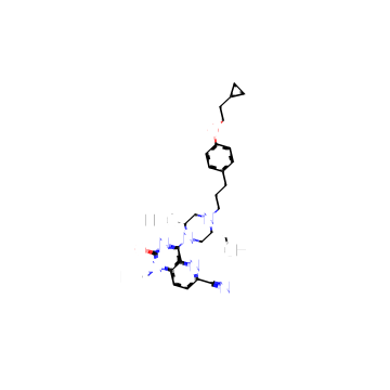 CC[C@@H]1CN(c2nc(=O)n(C)c3ccc(C#N)nc23)[C@@H](C)CN1CCCc1ccc(OCCC2CC2)cc1